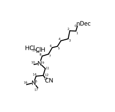 CCCCCCCCCCCCCCCCCCN(C)CC(C#N)CN(C)C.Cl.Cl